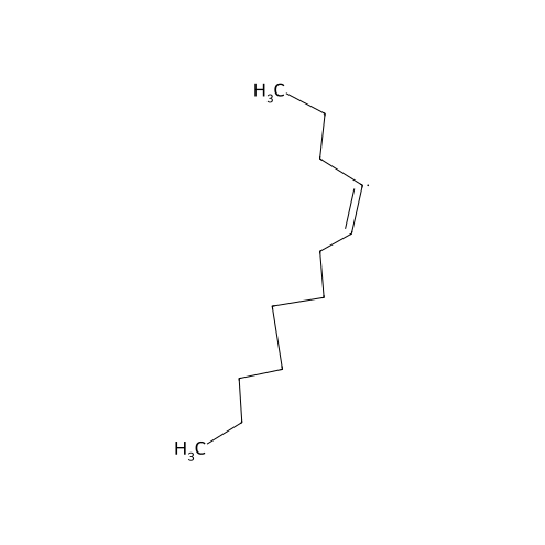 CCC/[C]=C\CCCCCCC